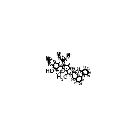 C[C@H]([C@@H]1CCC(N=[N+]=[N-])C([C@@H]2C(N=[N+]=[N-])CC(N=[N+]=[N-])[C@H](O)[C@H]2O)O1)N(Cc1ccccc1)C(=O)OCc1ccccc1